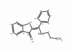 CCCNC(=C1Sc2ccccc2C1=O)c1ccccc1